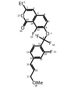 CCc1cc2ccc(OC(F)(F)c3ccc(/C=C/COC)cc3F)c(F)c2c(=O)o1